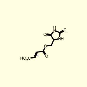 O=C(O)/C=C/C(=O)OCC1NC(=O)NC1=O